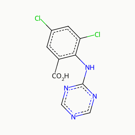 O=C(O)c1cc(Cl)cc(Cl)c1Nc1ncncn1